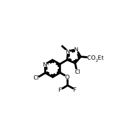 CCOC(=O)c1nn(C)c(-c2cnc(Cl)cc2OC(F)F)c1Cl